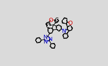 c1ccc(-c2nc(-c3ccccc3)nc(-c3ccc4c(c3)-c3cc(-n5c6ccccc6c6ccc7oc8ccccc8c7c65)ccc3C43c4ccccc4Oc4ccccc43)n2)cc1